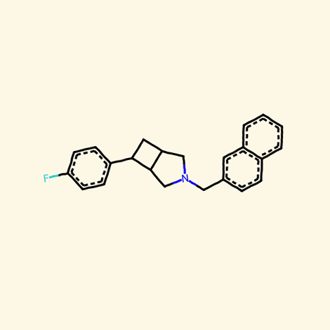 Fc1ccc(C2CC3CN(Cc4ccc5ccccc5c4)CC32)cc1